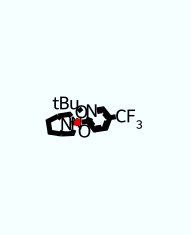 CC(C)(C)OC(=O)N1C2CCC1CN(c1ccc(C(F)(F)F)cn1)C2